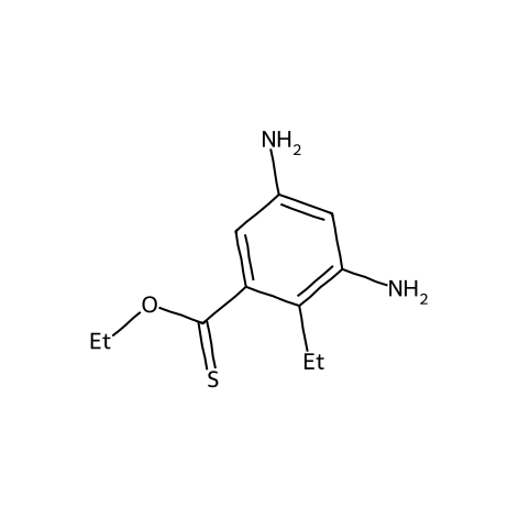 CCOC(=S)c1cc(N)cc(N)c1CC